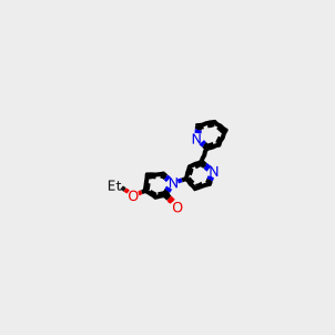 CCOc1ccn(-c2ccnc(-c3ccccn3)c2)c(=O)c1